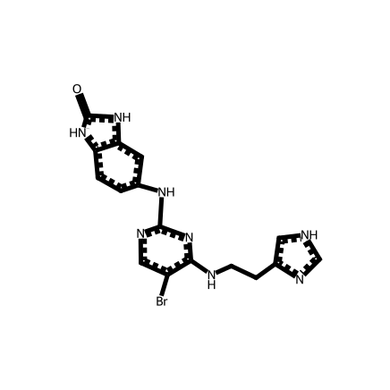 O=c1[nH]c2ccc(Nc3ncc(Br)c(NCCc4c[nH]cn4)n3)cc2[nH]1